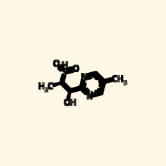 Cc1cnc([C@@H](O)[C@@H](C)[SH](=O)=O)nc1